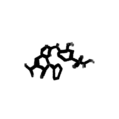 CNS(=O)(=O)c1ccc(Nc2ncc3cc(C(F)F)c(=O)n(C4CCCC4)c3n2)c(C)c1